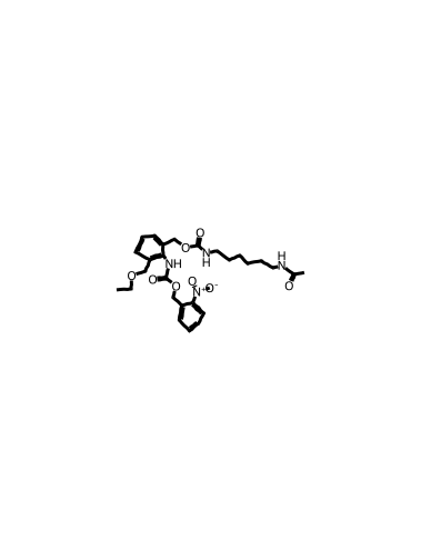 CCOCc1cccc(COC(=O)NCCCCCCNC(C)=O)c1NC(=O)OCc1ccccc1[N+](=O)[O-]